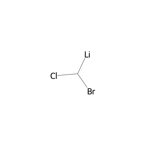 [Li][CH](Cl)Br